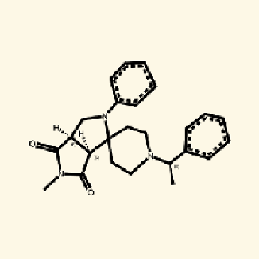 C[C@H](c1ccccc1)N1CCC2(CC1)[C@H]1C(=O)N(C)C(=O)[C@H]1CN2c1ccccc1